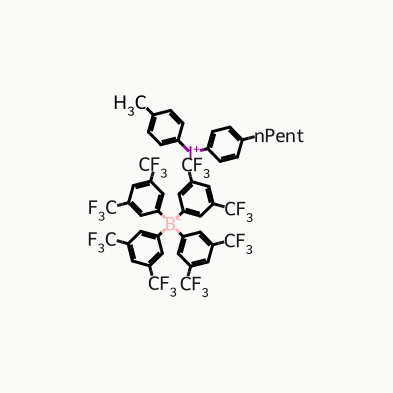 CCCCCc1ccc([I+]c2ccc(C)cc2)cc1.FC(F)(F)c1cc([B-](c2cc(C(F)(F)F)cc(C(F)(F)F)c2)(c2cc(C(F)(F)F)cc(C(F)(F)F)c2)c2cc(C(F)(F)F)cc(C(F)(F)F)c2)cc(C(F)(F)F)c1